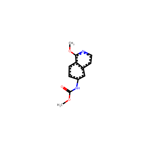 COC(=O)Nc1ccc2c(OC)nccc2c1